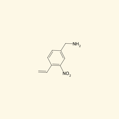 C=Cc1ccc(CN)cc1[N+](=O)[O-]